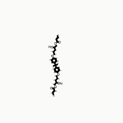 CC=CC(=O)OCC(O)CCCOc1ccc(C(C)(C)c2ccc(OCCCC(O)COC(=O)C=CC)cc2)cc1